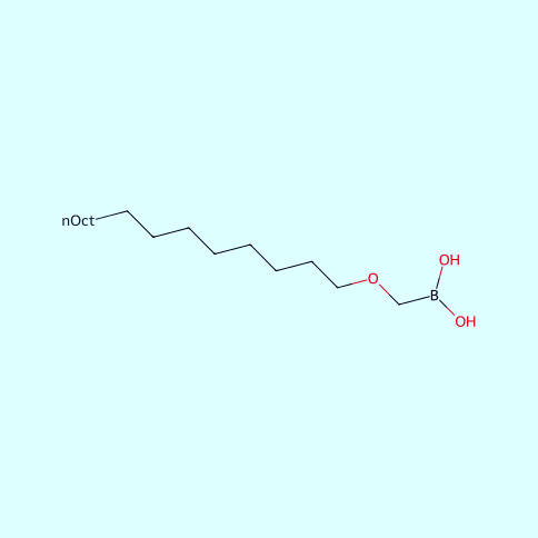 CCCCCCCCCCCCCCCCOCB(O)O